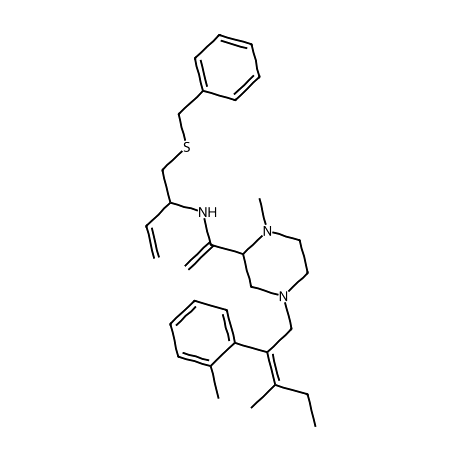 C=CC(CSCc1ccccc1)NC(=C)C1CN(C/C(=C(/C)CC)c2ccccc2C)CCN1C